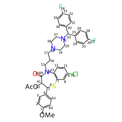 COc1ccc(C2Sc3cc(Cl)ccc3N(CCCN3CCN(C(c4ccc(F)cc4)c4ccc(F)cc4)CC3)C(=O)C2OC(C)=O)cc1